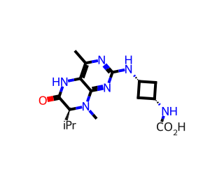 Cc1nc(N[C@H]2C[C@@H](NC(=O)O)C2)nc2c1NC(=O)[C@H](C(C)C)N2C